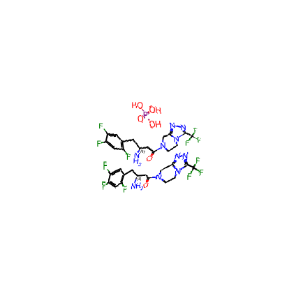 N[C@H](CC(=O)N1CCn2c(nnc2C(F)(F)F)C1)Cc1cc(F)c(F)cc1F.N[C@H](CC(=O)N1CCn2c(nnc2C(F)(F)F)C1)Cc1cc(F)c(F)cc1F.O=P(O)(O)O